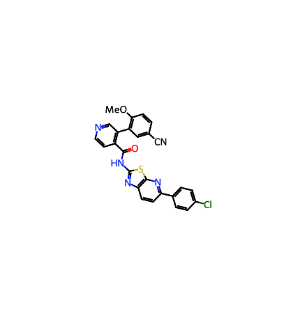 COc1ccc(C#N)cc1-c1cnccc1C(=O)Nc1nc2ccc(-c3ccc(Cl)cc3)nc2s1